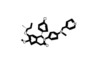 CC[C@@H](C)Oc1cc2c(cc1OC)CC(=O)N(c1ccc(N(C)Cc3ccncc3)cc1)[C@H]2c1ccc(Cl)cc1